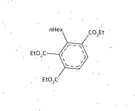 CCCCCCc1c(C(=O)OCC)ccc(C(=O)OCC)c1C(=O)OCC